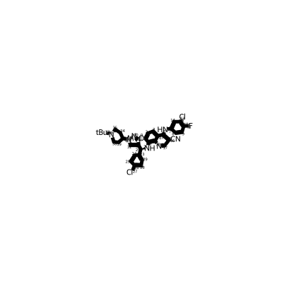 COc1ccc2c(Nc3ccc(F)c(Cl)c3)c(C#N)cnc2c1N[C@@H](c1ccc(Cl)cc1)c1cn(C2CCN(C(C)(C)C)CC2)nn1